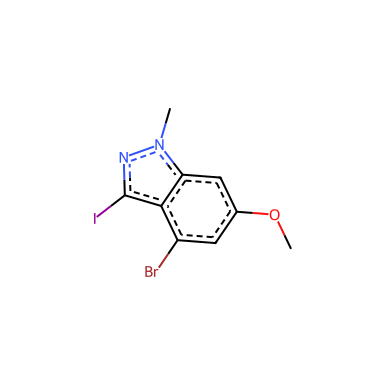 COc1cc(Br)c2c(I)nn(C)c2c1